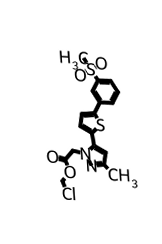 Cc1cc(-c2ccc(-c3cccc(S(C)(=O)=O)c3)s2)n(CC(=O)OCCl)n1